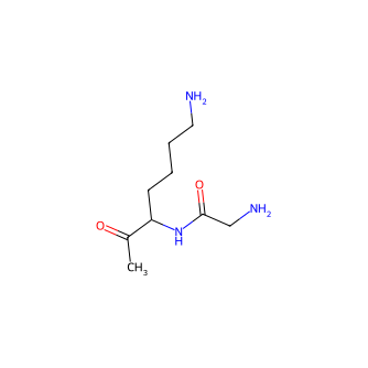 CC(=O)C(CCCCN)NC(=O)CN